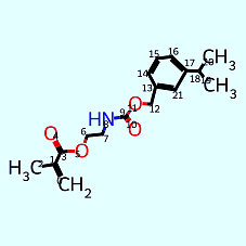 C=C(C)C(=O)OCCNC(=O)OCc1cccc(C(C)C)c1